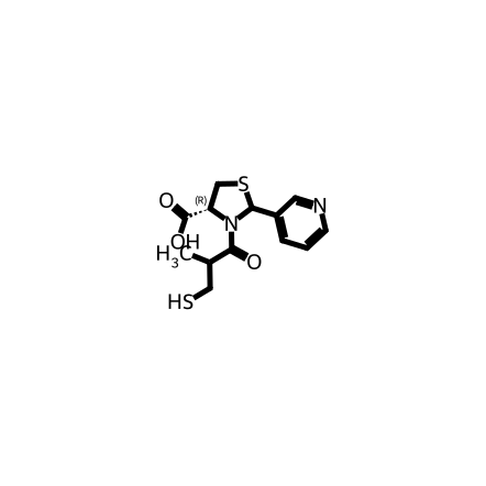 CC(CS)C(=O)N1C(c2cccnc2)SC[C@H]1C(=O)O